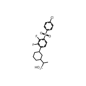 CC(C(=O)O)C1CCCC(c2ccc(S(=O)(=O)c3ccc(Cl)cc3)c(F)c2F)C1